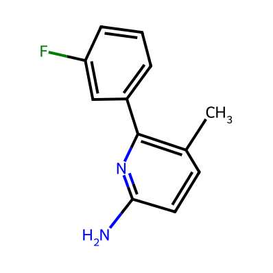 Cc1ccc(N)nc1-c1cccc(F)c1